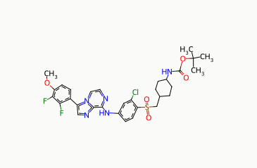 COc1ccc(-c2cnc3c(Nc4ccc(S(=O)(=O)CC5CCC(NC(=O)OC(C)(C)C)CC5)c(Cl)c4)nccn23)c(F)c1F